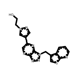 OCCn1cc(-c2cnc3nnn(Cc4csc5ncccc45)c3n2)cn1